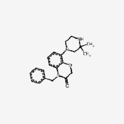 CC1(C)CN(c2cccc3c2OCC(=O)N3Cc2ccccc2)CCN1